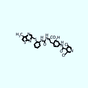 Cc1csc2nc(Sc3ccccc3NC(=O)N[C@@H](Cc3ccc(NC(=O)c4c(Cl)cncc4Cl)cc3)C(=O)O)cnc12